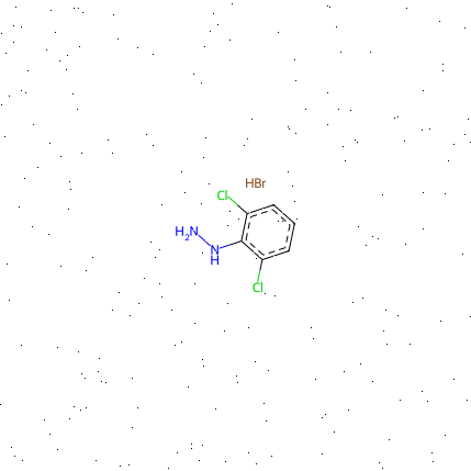 Br.NNc1c(Cl)cccc1Cl